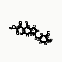 COC(=O)C(=O)c1c(C)nc2c(ccn2Cc2ccc(F)c(F)c2)c1C